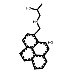 CC(O)CNCc1ccc2ccc3cccc4ccc1c2c34.Cl